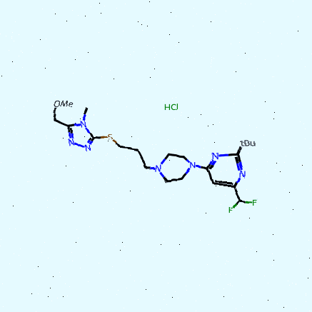 COCc1nnc(SCCCN2CCN(c3cc(C(F)F)nc(C(C)(C)C)n3)CC2)n1C.Cl